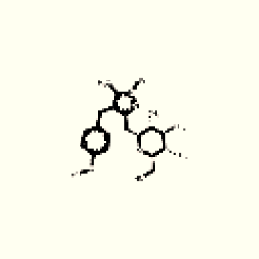 Cc1c(Cc2ccc(OC(C)C)cc2)c(C[C@@H]2O[C@H](CO)[C@@H](C)[C@H](C)[C@H]2C)nn1C(C)C